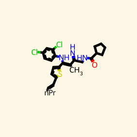 CCC/C=C/c1ccc(/C(Nc2ccc(Cl)cc2Cl)=C(\C)C(=N)CNC(=O)C2CCCC2)s1